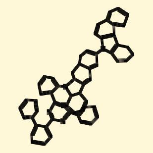 C1=Cc2c(c3c4ccccc4ccc3n2C2=CCC3CC4C(=CC3=C2)C2C=CCCC2N4c2ccccc2-c2nc(-c3ccccc3)nc(-c3ccccc3-c3ccccc3)n2)CC1